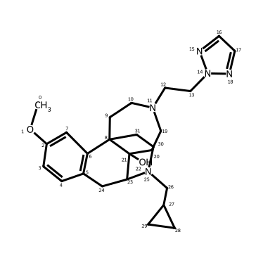 COc1ccc2c(c1)C13CCN(CCn4nccn4)CCC1(O)C(C2)N(CC1CC1)CC3